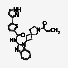 C=CC(=O)N1CC[C@]2(C1)C[C@H](n1c(NC(=O)c3ccc(-c4cc[nH]n4)s3)nc3ccccc31)C2